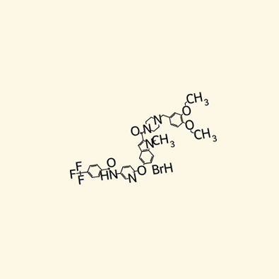 Br.CCOc1ccc(CN2CCN(C(=O)c3cc4cc(Oc5ccc(NC(=O)c6ccc(C(F)(F)F)cc6)cn5)ccc4n3C)CC2)cc1OCC